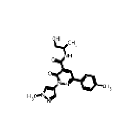 Cc1ccc(-c2cc(C(=O)NC(C)CO)c(=O)n(-c3cnn(C)c3)n2)cc1